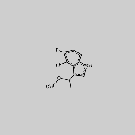 CC(OC=O)c1c[nH]c2ccc(F)c(Cl)c12